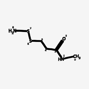 CNC(=O)CCSSN